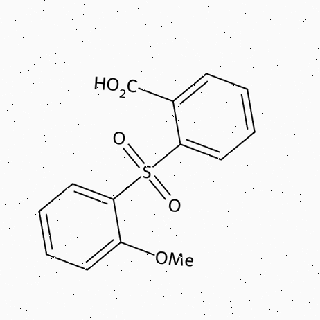 COc1ccccc1S(=O)(=O)c1ccccc1C(=O)O